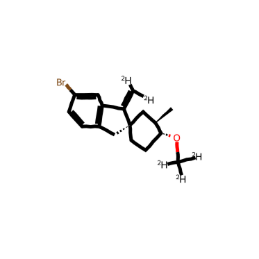 [2H]C([2H])=C1c2cc(Br)ccc2C[C@]12CC[C@@H](OC([2H])([2H])[2H])[C@H](C)C2